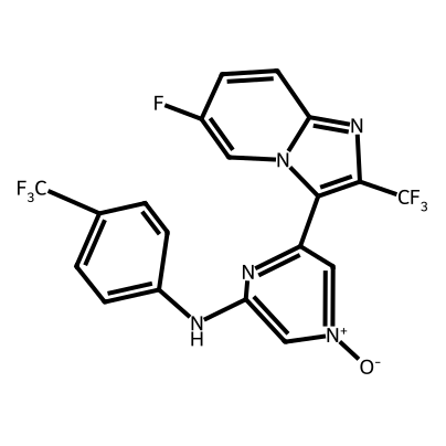 [O-][n+]1cc(Nc2ccc(C(F)(F)F)cc2)nc(-c2c(C(F)(F)F)nc3ccc(F)cn23)c1